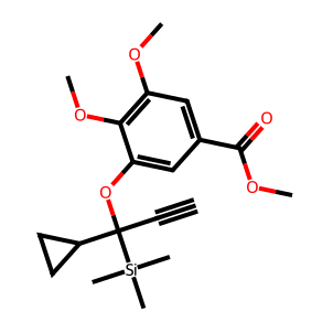 C#CC(Oc1cc(C(=O)OC)cc(OC)c1OC)(C1CC1)[Si](C)(C)C